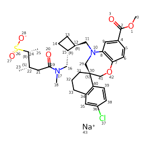 COC(=O)c1ccc2c(c1)N(C[C@@H]1CC[C@H]1CN(C)C(=O)C[C@H](C)[C@@H](C)S(=O)[O-])C[C@@]1(CCCc3cc(Cl)ccc31)CO2.[Na+]